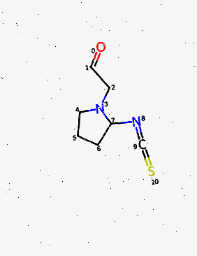 O=CCN1CCCC1N=C=S